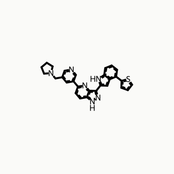 c1csc(-c2cccc3[nH]c(-c4n[nH]c5ccc(-c6cncc(CN7CCCC7)c6)nc45)cc23)c1